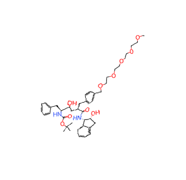 COCCOCCOCCOCCOCc1ccc(C[C@H](C[C@H](O)[C@H](Cc2ccccc2)NC(=O)OC(C)(C)C)C(=O)N[C@H]2c3ccccc3C[C@H]2O)cc1